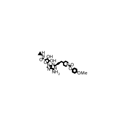 COc1ccc(OC(=O)N2CCC(CC#Cc3nc(N)c4ncn([C@@H]5O[C@H](C(=O)NC6CC6)[C@H](O)C5O)c4n3)CC2)cc1